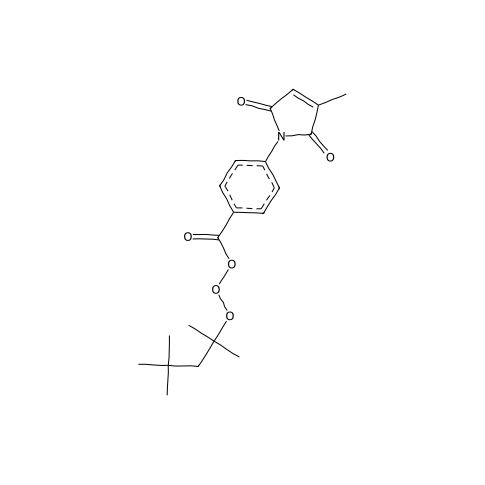 CC1=CC(=O)N(c2ccc(C(=O)OOOC(C)(C)CC(C)(C)C)cc2)C1=O